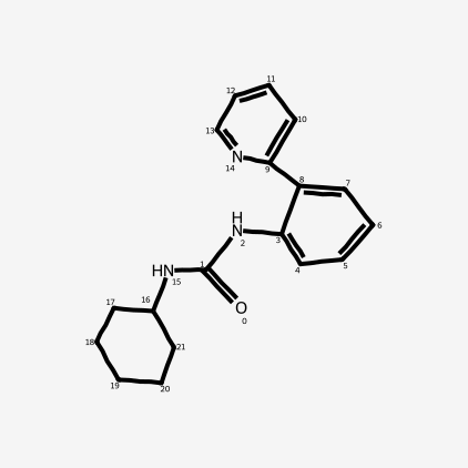 O=C(Nc1ccccc1-c1ccccn1)NC1CCCCC1